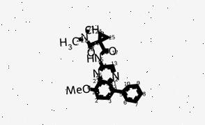 COc1ccc(-c2ccccc2)c2ncc(NC(=O)C3(C(=O)N(C)C)CC3)nc12